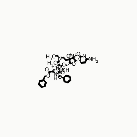 CCN(CC)CCC1(O)[C@@H](COP(=O)(O)OP(=O)(N[C@@H](C)C(=O)OCc2ccccc2)Oc2ccccc2)O[C@@H](n2ccc(N)nc2=O)C1(F)F